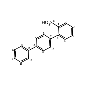 O=S(=O)(O)c1ccccc1-c1ccc(-c2ccccc2)cc1